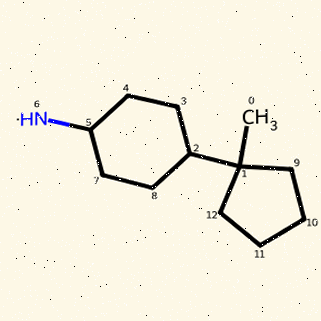 CC1(C2CCC([NH])CC2)CCCC1